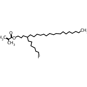 C=C(C)C(=O)OCCCC(CCCCCCF)CCCCCCCCCCCCCCCCC